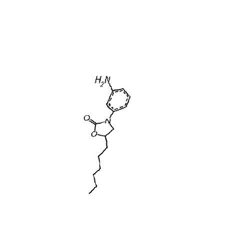 CCCCCCC1CN(c2cccc(N)c2)C(=O)O1